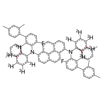 [2H]c1c([2H])c([2H])c(N(c2c(F)ccc(-c3ccc(C)cc3C)c2-c2ccc(C)cc2)c2ccc3ccc4c(N(c5c([2H])c([2H])c([2H])c([2H])c5[2H])c5c(F)ccc(-c6ccc(C)cc6C)c5-c5ccc(C)cc5C)ccc5ccc2c3c54)c([2H])c1[2H]